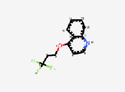 FC(F)(F)CCOc1c[c]nc2ccccc12